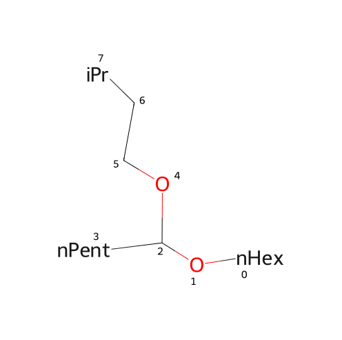 CCCCCCOC(CCCCC)OCCC(C)C